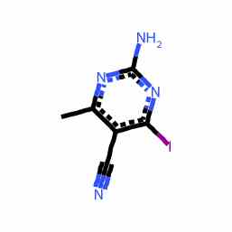 Cc1nc(N)nc(I)c1C#N